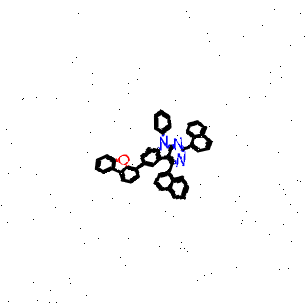 c1ccc(-n2c3ccc(-c4cccc5c4oc4ccccc45)cc3c3c(-c4cccc5ccccc45)nc(-c4cccc5ccccc45)nc32)cc1